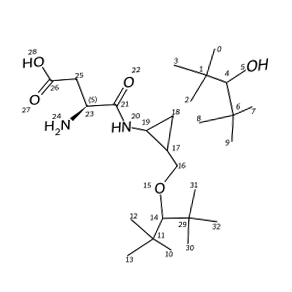 CC(C)(C)C(O)C(C)(C)C.CC(C)(C)C(OCC1CC1NC(=O)[C@@H](N)CC(=O)O)C(C)(C)C